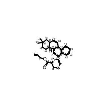 C=CCOC(=O)C1=NC=CSC1.CC1(C)CC[C@@H]2c3ccc4ccccc4c3C=CC2C1